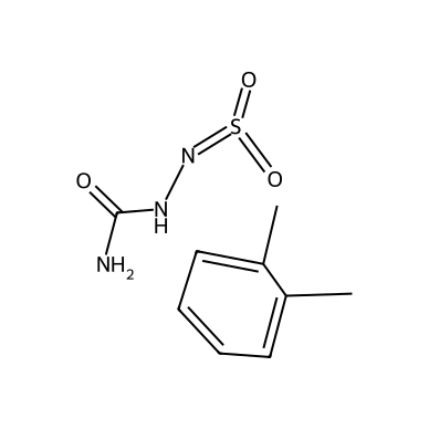 Cc1ccccc1C.NC(=O)NN=S(=O)=O